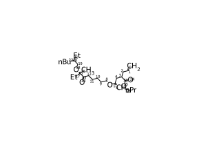 C=CCC(CC(=C)OCCCCCC(=O)C(C)(CC)OCC(CC)CCCC)C(=O)OCCC